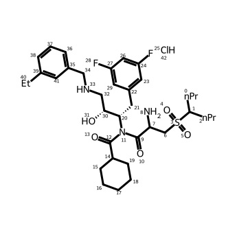 CCCC(CCC)S(=O)(=O)CC(N)C(=O)N(C(=O)C1CCCCC1)[C@@H](Cc1cc(F)cc(F)c1)[C@H](O)CNCc1cccc(CC)c1.Cl